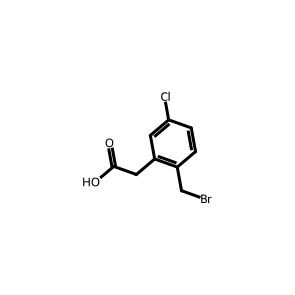 O=C(O)Cc1cc(Cl)ccc1CBr